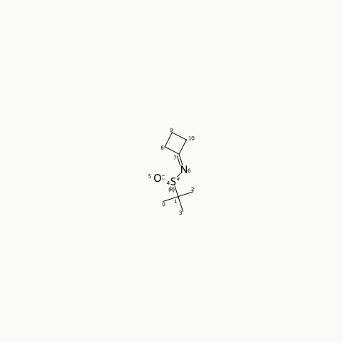 CC(C)(C)[S@+]([O-])N=C1CCC1